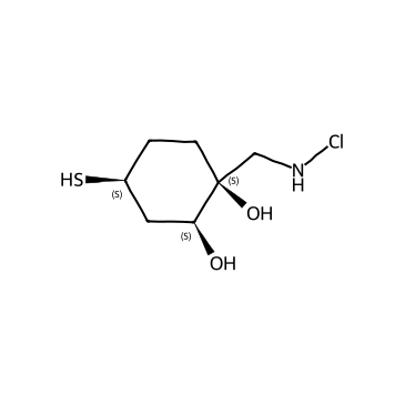 O[C@H]1C[C@@H](S)CC[C@]1(O)CNCl